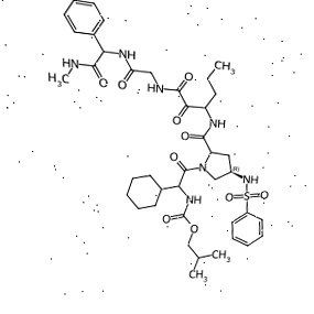 CCCC(NC(=O)C1C[C@@H](NS(=O)(=O)c2ccccc2)CN1C(=O)C(NC(=O)OCC(C)C)C1CCCCC1)C(=O)C(=O)NCC(=O)NC(C(=O)NC)c1ccccc1